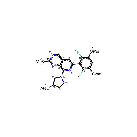 COc1cc(OC)c(F)c(-c2cc3cnc(SC)nc3c(N3CCC(OC)C3)n2)c1F